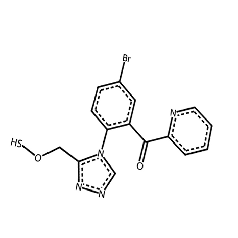 O=C(c1ccccn1)c1cc(Br)ccc1-n1cnnc1COS